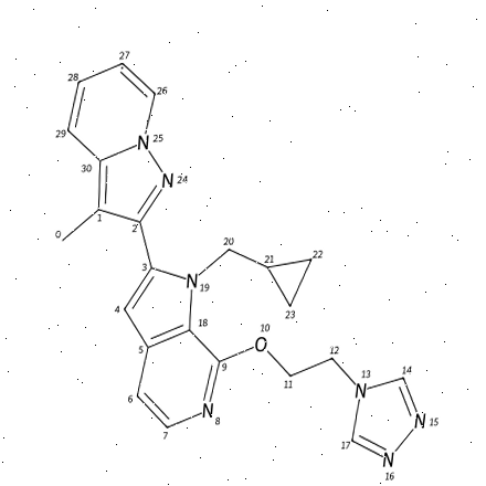 Cc1c(-c2cc3ccnc(OCCn4cnnc4)c3n2CC2CC2)nn2c[c]ccc12